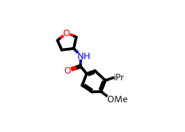 COc1ccc(C(=O)NC2CCOC2)cc1C(C)C